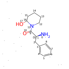 N[C@@H](Cc1ccccc1)C(=O)N1CCCCC1O